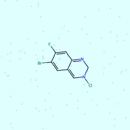 Fc1cc2c(cc1Br)=CN(Cl)CN=2